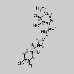 Cn1ccc(C(=O)NCC2CN(S(=O)(=O)c3ccc(Cl)c(Cl)c3)C2)c(O)c1=O